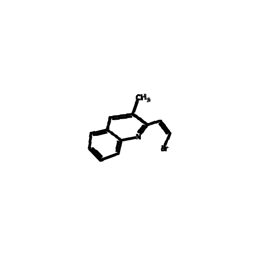 Cc1cc2ccccc2nc1/C=C\Br